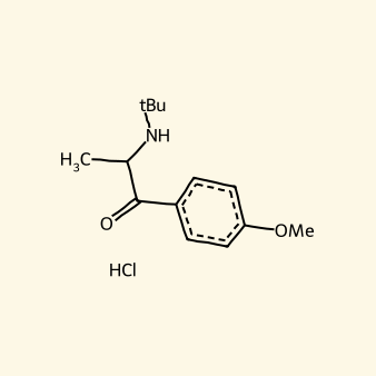 COc1ccc(C(=O)C(C)NC(C)(C)C)cc1.Cl